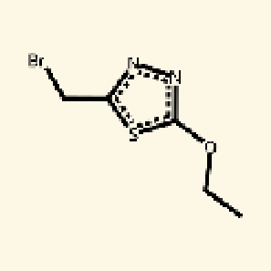 CCOc1nnc(CBr)s1